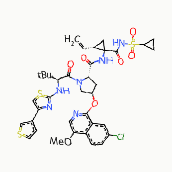 C=C[C@@H]1C[C@]1(NC(=O)[C@@H]1C[C@@H](Oc2ncc(OC)c3ccc(Cl)cc23)CN1C(=O)[C@@H](Nc1nc(-c2ccsc2)cs1)C(C)(C)C)C(=O)NS(=O)(=O)C1CC1